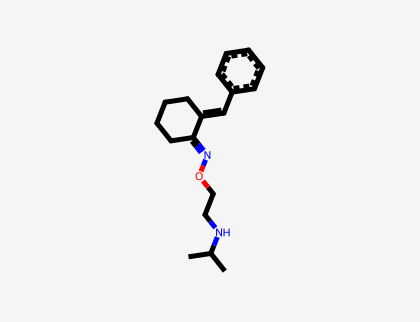 CC(C)NCCO/N=C1\CCCC\C1=C/c1ccccc1